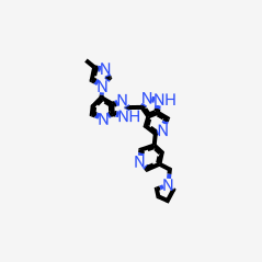 Cc1cn(-c2ccnc3[nH]c(-c4n[nH]c5cnc(-c6cncc(CN7CCCC7)c6)cc45)nc23)cn1